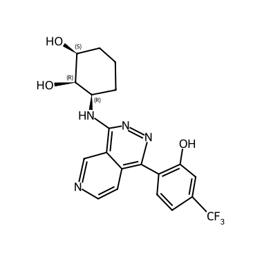 Oc1cc(C(F)(F)F)ccc1-c1nnc(N[C@@H]2CCC[C@H](O)[C@@H]2O)c2cnccc12